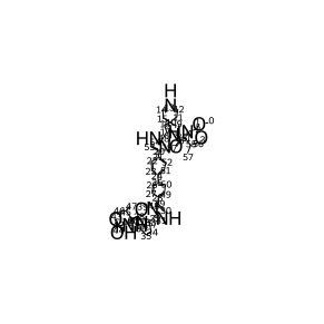 COC(=O)N[C@H](C(=O)N1CC2(CCNCC2)CC1c1nc(-c2ccc(-c3ccc(-c4c[nH]c([C@@H]5CCCN5C(=O)[C@@H](NC(=O)O)C(C)C)n4)cc3)cc2)c[nH]1)C(C)C